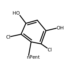 CCCCCc1c(Cl)c(O)cc(O)c1Cl